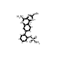 CCCc1nc2c(N)nc3cc(-c4ccccc4CS(N)(=O)=O)ccc3c2s1